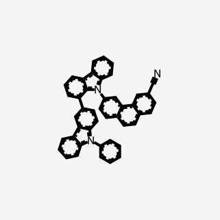 N#Cc1ccc2ccc3ccc(-n4c5ccccc5c5cccc(-c6ccc7c(c6)c6ccccc6n7-c6ccccc6)c54)cc3c2c1